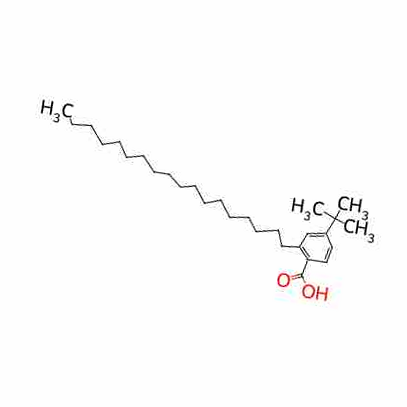 CCCCCCCCCCCCCCCCCCc1cc(C(C)(C)C)ccc1C(=O)O